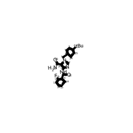 CC(C)(C)c1ccc(Cn2cnc(NC(=O)c3ccccc3F)c2C(N)=O)cc1